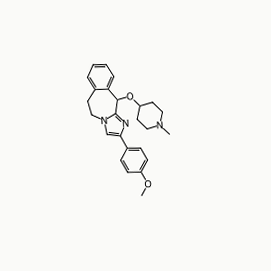 COc1ccc(-c2cn3c(n2)C(OC2CCN(C)CC2)c2ccccc2CC3)cc1